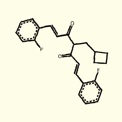 O=C(C=Cc1ccccc1F)C(CC1CCC1)C(=O)C=Cc1ccccc1F